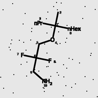 CCCCCCC(C)(CCC)OCC(F)(F)CN